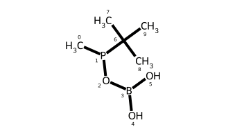 CP(OB(O)O)C(C)(C)C